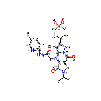 CC(C)N1Cc2c(n(CC(=O)Nc3ccc(F)cn3)c3cc(C4CCS(=O)(=O)CC4)nn3c2=O)C1=O